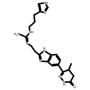 CC1CC(=O)NN=C1c1ccc2[nH]c(CCN=C(N)NCCCc3c[nH]cn3)nc2c1